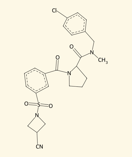 CN(Cc1ccc(Cl)cc1)C(=O)C1CCCN1C(=O)c1cccc(S(=O)(=O)N2CC(C#N)C2)c1